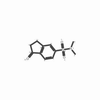 CN(C)S(=O)(=O)c1ccc2c(c1)CCC2=O